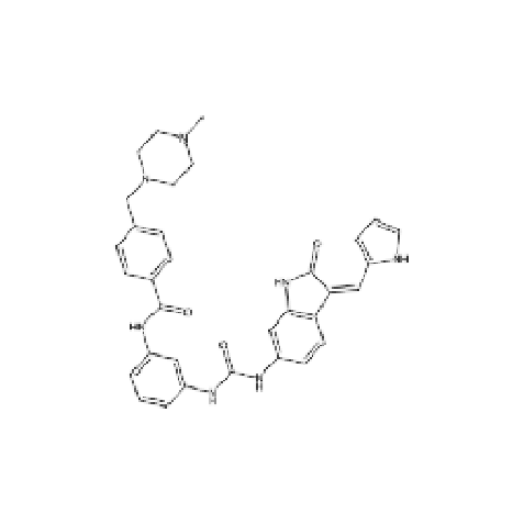 CN1CCN(Cc2ccc(C(=O)Nc3cccc(NC(=O)Nc4ccc5c(c4)NC(=O)C5=Cc4ccc[nH]4)c3)cc2)CC1